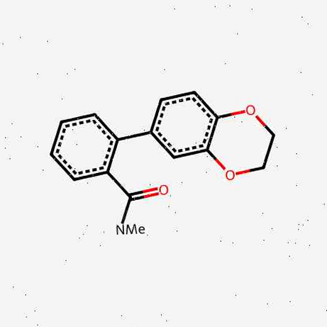 CNC(=O)c1ccccc1-c1ccc2c(c1)OCCO2